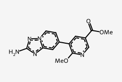 COC(=O)c1cnc(OC)c(-c2ccn3nc(N)nc3c2)c1